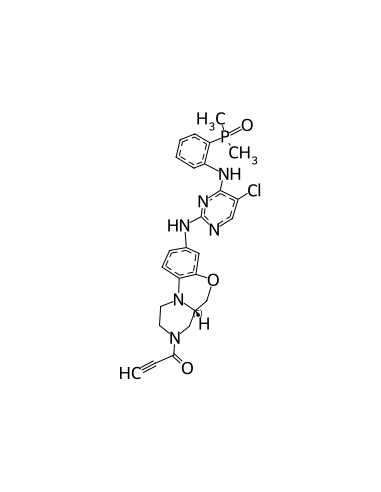 C#CC(=O)N1CCN2c3ccc(Nc4ncc(Cl)c(Nc5ccccc5P(C)(C)=O)n4)cc3OC[C@@H]2C1